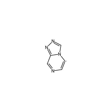 [c]1cncc2nncn12